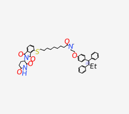 CC/C(=C(\c1ccccc1)c1ccc(OCCN(C)C(=O)CCCCCCCCSc2cccc3c2C(=O)N(C2CCC(=O)NC2=O)C3=O)cc1)c1ccccc1